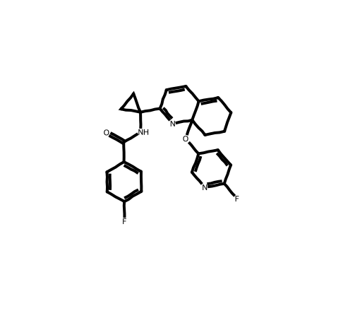 O=C(NC1(C2=NC3(Oc4ccc(F)nc4)CCCC=C3C=C2)CC1)c1ccc(F)cc1